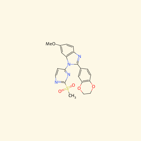 COc1ccc2nc(-c3ccc4c(c3)OCCO4)n(-c3ccnc(S(C)(=O)=O)n3)c2c1